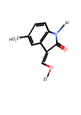 CCO/C=C1\C(=O)N(C(C)=O)c2ccc(C(=O)O)cc21